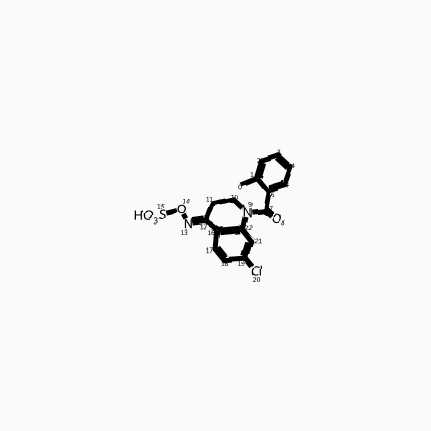 Cc1ccccc1C(=O)N1CCC(=NOS(=O)(=O)O)c2ccc(Cl)cc21